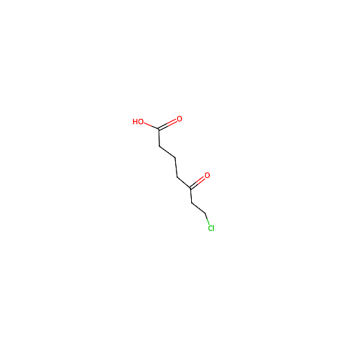 O=C(O)CCCC(=O)CCCl